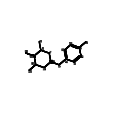 Cc1ccc(CN2CC(C)N(C)C(C)C2)cc1